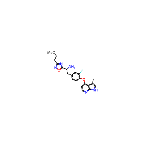 COCCc1noc([C@@H](N)Cc2ccc(Oc3ccnc4[nH]cc(C)c34)c(F)c2)n1